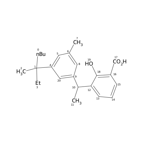 CCCCC(C)(CC)c1cc(C)cc(C(C)c2cccc(C(=O)O)c2O)c1